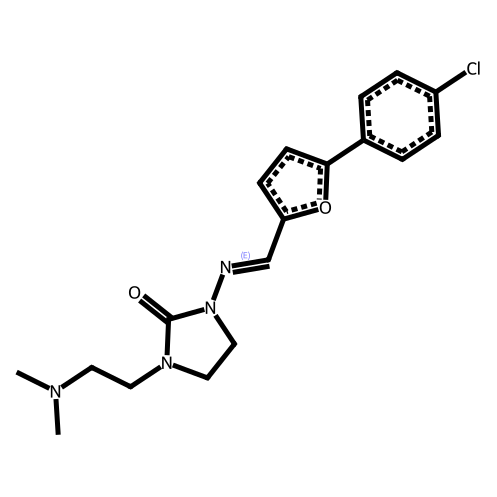 CN(C)CCN1CCN(/N=C/c2ccc(-c3ccc(Cl)cc3)o2)C1=O